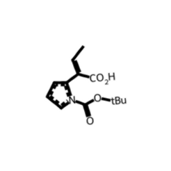 CC=C(C(=O)O)c1cccn1C(=O)OC(C)(C)C